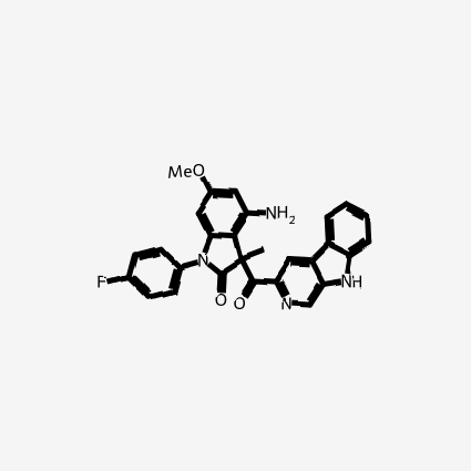 COc1cc(N)c2c(c1)N(c1ccc(F)cc1)C(=O)C2(C)C(=O)c1cc2c(cn1)[nH]c1ccccc12